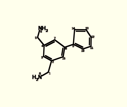 NCc1cc(CN)cc(-c2ccccc2)c1